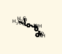 COCCN(CCOC)Cc1ccc(/C=C/c2n[nH]c3cc([C@@H]4C[C@@]45C(=O)NC4=CC5CC=C4)ccc23)cc1